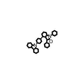 c1ccc(-n2c3cccc(-c4ccc(-n5c6ccccc6c6ccccc65)cc4)c3c3c4ccccc4oc32)cc1